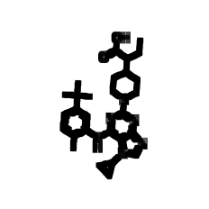 CCC(C(=O)O)C1CCN(c2nc(Nc3cc(C(C)(C)C)ccc3C)c3c(ncn3C3CC3)n2)CC1